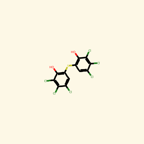 Oc1c(Sc2cc(Cl)c(Cl)c(Cl)c2O)cc(Cl)c(Cl)c1Cl